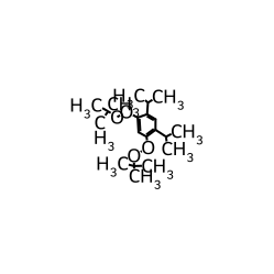 CC(C)c1cc(C(C)C)c(OOC(C)(C)C)cc1OOC(C)(C)C